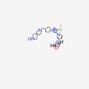 FC(F)c1nn(C2CCC(CN3CCC4(CCNCC4)CC3)CC2)cc1N1C=C(N2C[C@H]3C[C@@H]2CO3)C=CC1